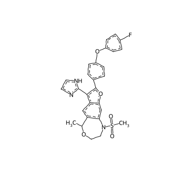 CC1OCCN(S(C)(=O)=O)c2cc3oc(-c4ccc(Oc5ccc(F)cc5)cc4)c(-c4ncc[nH]4)c3cc21